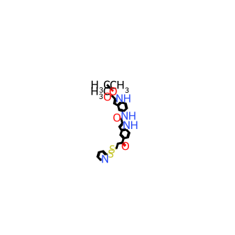 CC(C)(C)OC(=O)c1cc2cc(NC(=O)c3cc4cc(C(=O)CCSSc5ccccn5)ccc4[nH]3)ccc2[nH]1